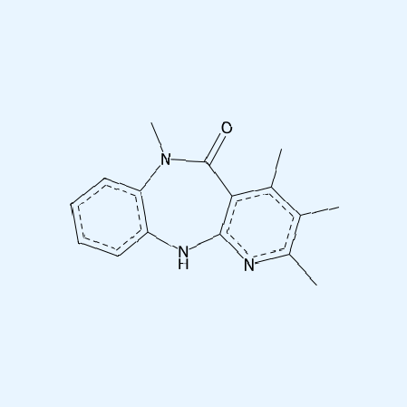 Cc1nc2c(c(C)c1C)C(=O)N(C)c1ccccc1N2